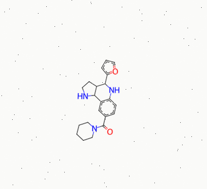 O=C(c1ccc2c(c1)C1NCCC1C(c1ccco1)N2)N1CCCCC1